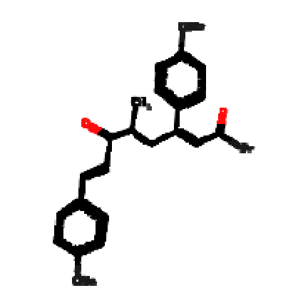 COc1ccc(C=CC(=O)C(C)CC(=CC(=O)C(C)C)c2ccc(OC)cc2)cc1